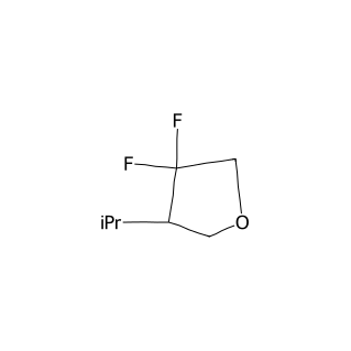 CC(C)C1COCC1(F)F